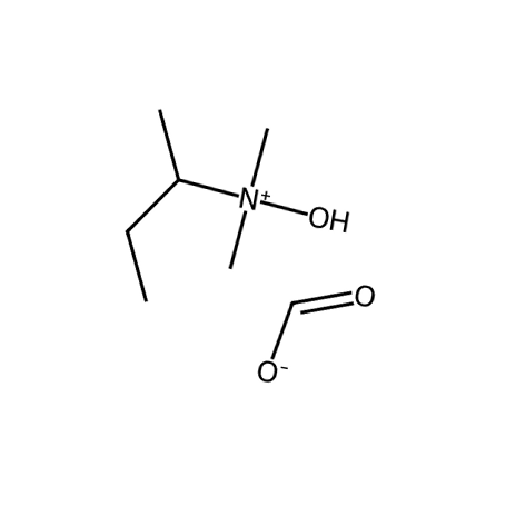 CCC(C)[N+](C)(C)O.O=C[O-]